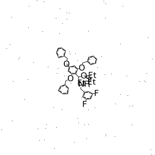 CC[Si](CC)(CC)OC(CNCc1cc(F)cc(F)c1)c1c(OCc2ccccc2)cc(OCc2ccccc2)cc1OCc1ccccc1